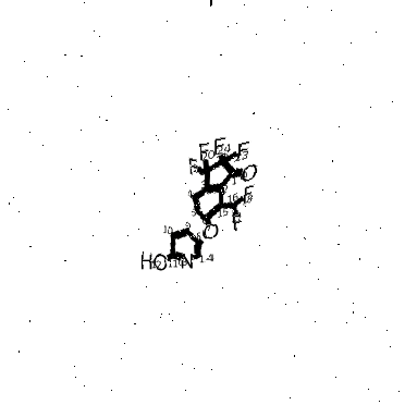 O=C1c2c(ccc(Oc3ccc(O)nc3)c2C(F)F)C(F)(F)C1(F)F